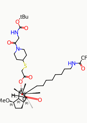 CO[C@@H]1CC[C@]23CC[C@@H](C)[C@](C)([C@H]12)[C@H](OC(=O)CSC1CCN(C(=O)CNC(=O)OC(C)(C)C)CC1)C[C@](C)(CCCCCCCCNC(=O)C(F)(F)F)C(=O)[C@@H]3C